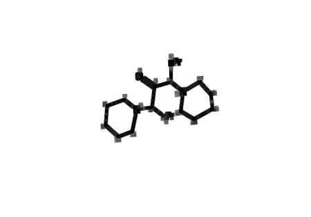 CCCC(C(=O)C(CCC)N1CCCCC1)N1CCCCC1